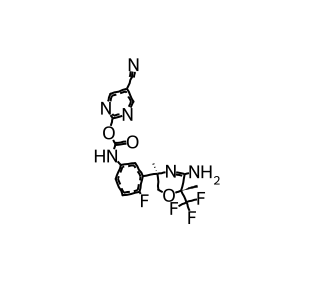 C[C@@]1(c2cc(NC(=O)Oc3ncc(C#N)cn3)ccc2F)CO[C@@](C)(C(F)(F)F)C(N)=N1